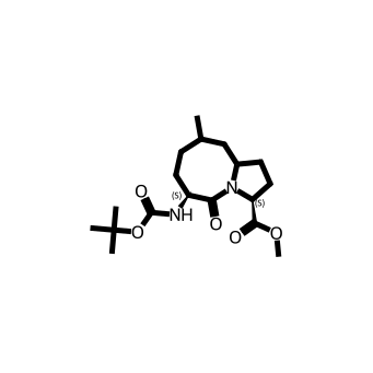 COC(=O)[C@@H]1CCC2CC(C)CC[C@H](NC(=O)OC(C)(C)C)C(=O)N21